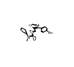 CN(C(=O)OCc1ocnc1-c1ccc(Br)cc1)C1CCCC1